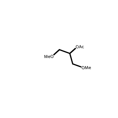 COCC(COC)OC(C)=O